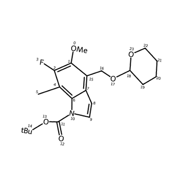 COc1c(F)c(C)c2c(ccn2C(=O)OC(C)(C)C)c1COC1CCCCO1